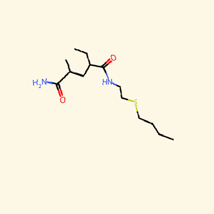 CCCCSCCNC(=O)C(CC)CC(C)C(N)=O